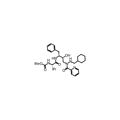 COC(=O)N[C@H](C(=O)N[C@@H](Cc1ccccc1)[C@@H](O)CN(NCC1CCCCC1)C(=O)c1ccccn1)C(C)C